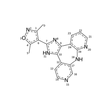 Cc1noc(C)c1-c1nc2c([nH]1)-c1ccncc1Nc1ncccc1-2